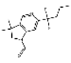 CCCC(F)(F)c1cc2c(cn1)C(C)(C)CN2C=O